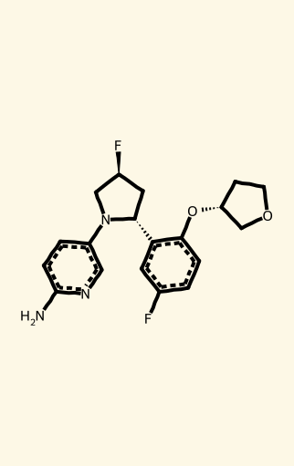 Nc1ccc(N2C[C@@H](F)C[C@@H]2c2cc(F)ccc2O[C@@H]2CCOC2)cn1